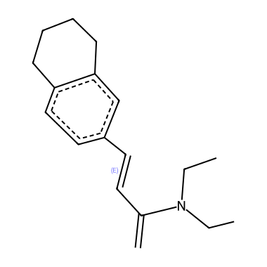 C=C(/C=C/c1ccc2c(c1)CCCC2)N(CC)CC